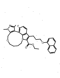 CCOC(=O)c1c(CCCOc2cccc3ccccc23)c2ccc(F)c3c2n1CCCCOCc1c-3c(C)nn1C